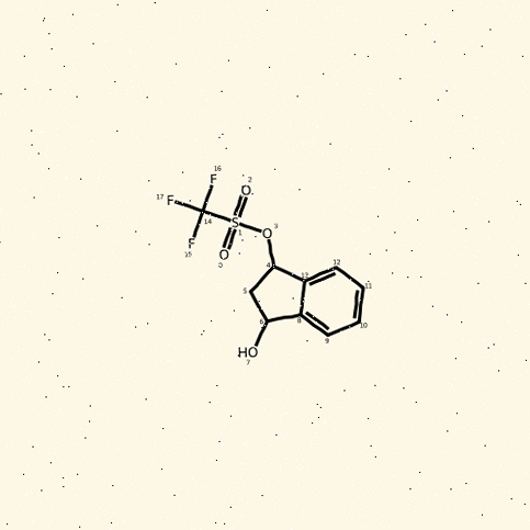 O=S(=O)(OC1CC(O)c2ccccc21)C(F)(F)F